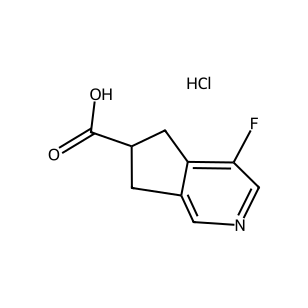 Cl.O=C(O)C1Cc2cncc(F)c2C1